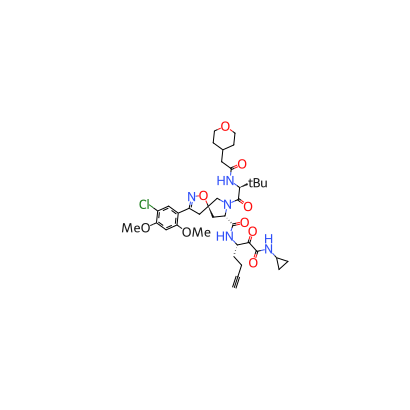 C#CCC[C@H](NC(=O)[C@@H]1C[C@]2(CC(c3cc(Cl)c(OC)cc3OC)=NO2)CN1C(=O)[C@@H](NC(=O)CC1CCOCC1)C(C)(C)C)C(=O)C(=O)NC1CC1